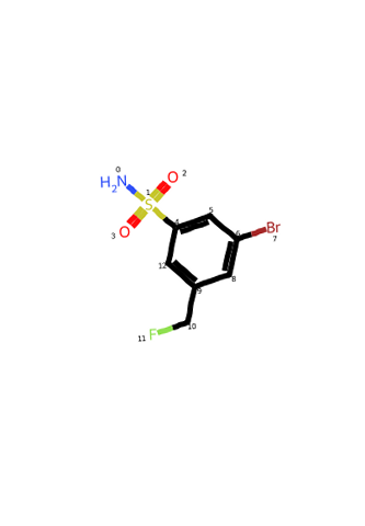 NS(=O)(=O)c1cc(Br)cc(CF)c1